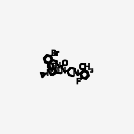 Cc1cccc(F)c1N1CCC(N2Cc3cn(C4CC4)nc3N(Cc3c(Br)cccc3C(F)(F)F)C2=O)CC1